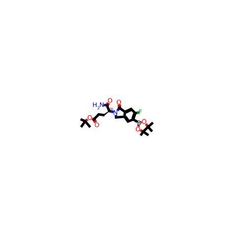 CC(C)(C)OC(=O)CC[C@@H](C(N)=O)N1Cc2cc(B3OC(C)(C)C(C)(C)O3)c(F)cc2C1=O